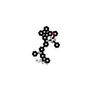 CC1(C)c2ccccc2-c2cc3c4cc(-c5ccc6c(c5)c5ccc7c(c5n6-c5nc(-c6ccccc6)nc(-c6ccccc6)n5)-c5ccccc5C75c6ccccc6-c6ccccc65)ccc4n(-c4ccccc4)c3cc21